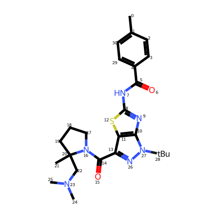 Cc1ccc(C(=O)Nc2nc3c(s2)c(C(=O)N2CCCC2(C)CN(C)C)nn3C(C)(C)C)cc1